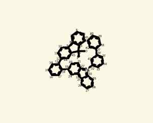 CC1(C)c2ccccc2-c2ccc(-c3ccccc3-c3ccc4c(c3)c3ccccc3n4-c3cccc(-c4ccccc4)c3)cc21